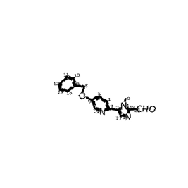 Cn1c(-c2ccc(OCc3ccccc3)cn2)cnc1C=O